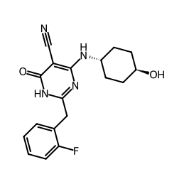 N#Cc1c(N[C@H]2CC[C@H](O)CC2)nc(Cc2ccccc2F)[nH]c1=O